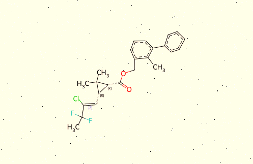 Cc1c(COC(=O)[C@@H]2[C@H](/C=C(\Cl)C(C)(F)F)C2(C)C)cccc1-c1ccccc1